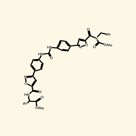 COC(=O)C(NC(=O)c1cc(-c2ccc(NC(=O)Nc3ccc(-c4cc(C(=O)N(CC(C)C)C(=O)OC)on4)cc3)cc2)no1)C(C)C